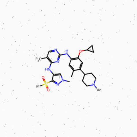 CC(=O)N1CCC(c2cc(OC3CC3)c(Nc3ncc(C(F)(F)F)c(Nc4cn(C)nc4S(=O)(=O)C(C)C)n3)cc2C)CC1